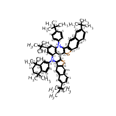 CC(C)(C)c1ccc(N2c3cc(C(C)(C)C)cc4c3B(c3sc5cc6ccc(C(C)(C)C)cc6cc5c32)c2sc3cc5ccc(C(C)(C)C)cc5cc3c2N4c2ccc3c(c2)C(C)(C)CCC3(C)C)cc1